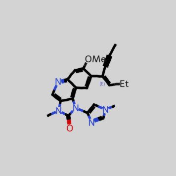 CC#C/C(=C\CC)c1cc2c(cc1OC)ncc1c2n(-c2cn(C)cn2)c(=O)n1C